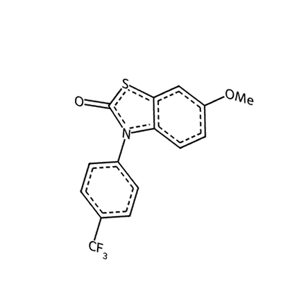 COc1ccc2c(c1)sc(=O)n2-c1ccc(C(F)(F)F)cc1